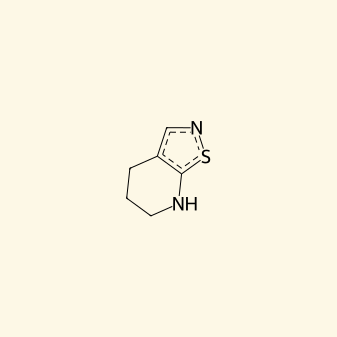 c1nsc2c1CCCN2